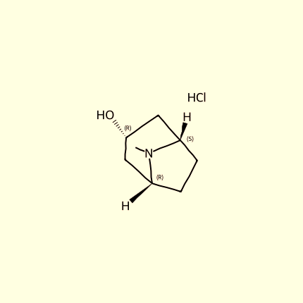 CN1[C@@H]2CC[C@H]1C[C@@H](O)C2.Cl